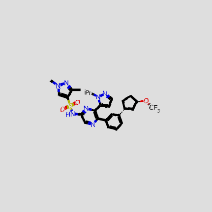 Cc1nn(C)cc1S(=O)(=O)Nc1cnc(-c2cccc([C@@H]3CC[C@@H](OC(F)(F)F)C3)c2)c(-c2ccnn2C(C)C)n1